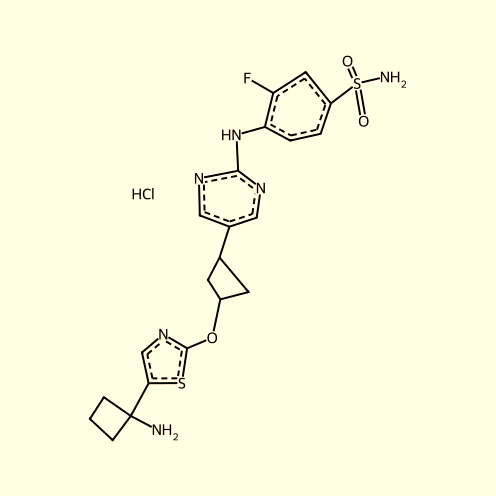 Cl.NC1(c2cnc(OC3CC(c4cnc(Nc5ccc(S(N)(=O)=O)cc5F)nc4)C3)s2)CCC1